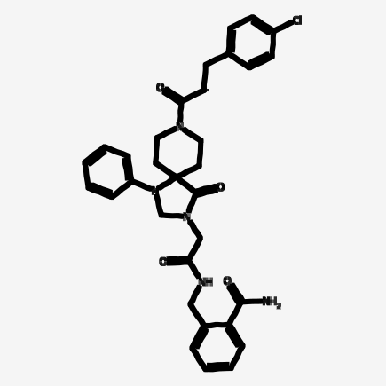 NC(=O)c1ccccc1CNC(=O)CN1CN(c2ccccc2)C2(CCN(C(=O)[CH]Cc3ccc(Cl)cc3)CC2)C1=O